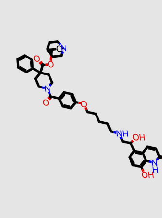 O=C(c1ccc(OCCCCCNCC(O)c2ccc(O)c3[nH]c(=O)ccc23)cc1)N1CCC(C(=O)OC2CN3CCC2CC3)(c2ccccc2)CC1